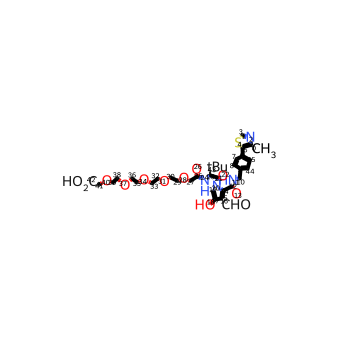 Cc1ncsc1-c1ccc(CNC(=O)c2c(C=O)c(O)cn2C(=O)[C@@H](NC(=O)COCCOCCOCCOCCOCC(=O)O)C(C)(C)C)cc1